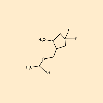 CC(S)OCC1CC(F)(F)CN1C